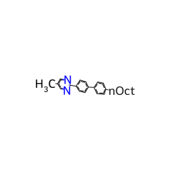 CCCCCCCCc1ccc(-c2ccc(-c3ncc(C)cn3)cc2)cc1